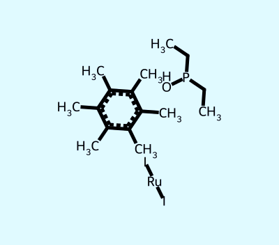 CCP(O)CC.Cc1c(C)c(C)c(C)c(C)c1C.[I][Ru][I]